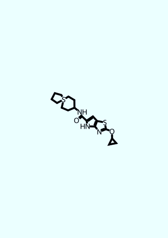 O=C(NC1CCS2(CCCC2)CC1)c1cc2sc(OC3CC3)nc2[nH]1